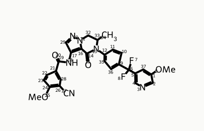 COc1cncc(C(F)(F)c2ccc(N3C(=O)c4c(NC(=O)c5ccc(OC)c(C#N)c5)cnn4CC3C)cc2)c1